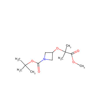 COC(=O)C(C)(C)OC1CN(C(=O)OC(C)(C)C)C1